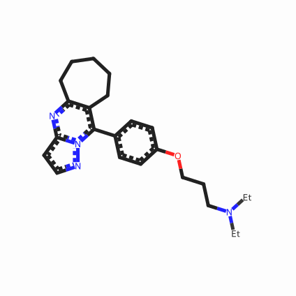 CCN(CC)CCCOc1ccc(-c2c3c(nc4ccnn24)CCCCC3)cc1